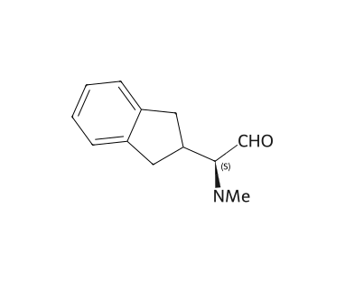 CN[C@H](C=O)C1Cc2ccccc2C1